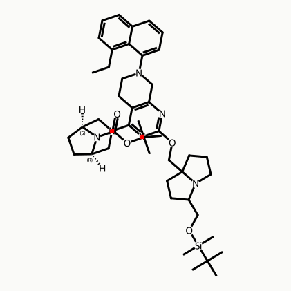 CCc1cccc2cccc(N3CCc4c(nc(OCC56CCCN5C(CO[Si](C)(C)C(C)(C)C)CC6)nc4N4C[C@H]5CC[C@@H](C4)N5C(=O)OC(C)(C)C)C3)c12